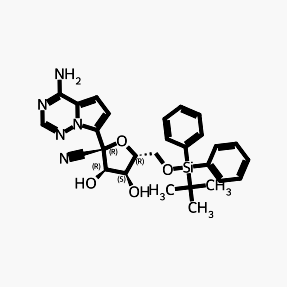 CC(C)(C)[Si](OC[C@H]1O[C@@](C#N)(c2ccc3c(N)ncnn23)[C@H](O)[C@@H]1O)(c1ccccc1)c1ccccc1